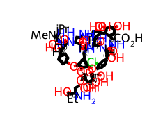 CC[C@@H](O)[C@@H](N)CC(O)O[C@H]1[C@H](Oc2c3cc4cc2Oc2ccc(cc2Cl)[C@@H](O)[C@@H]2NC(=O)[C@H](NC(=O)[C@@H]4NC(=O)C(CC(N)=O)NC(=O)[C@H](NC(=O)[C@@H](CC(C)C)NC)[C@H](O)c4ccc(cc4)O3)c3ccc(O)c(c3)-c3c(O)cc(O)cc3[C@@H](C(=O)O)NC2=O)O[C@H](CO)[C@@H](O)[C@@H]1O